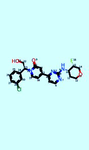 O=c1cc(-c2ccnc(N[C@H]3CCOC[C@H]3F)n2)ccn1[C@H](CO)c1cccc(Cl)c1